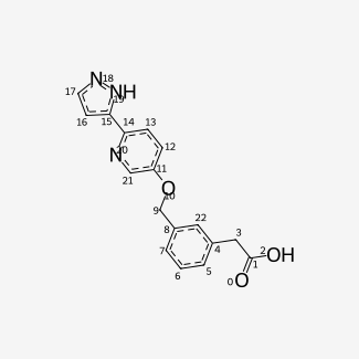 O=C(O)Cc1cccc(COc2ccc(-c3ccn[nH]3)nc2)c1